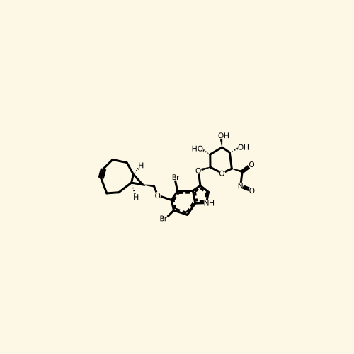 O=NC(=O)[C@H]1O[C@@H](Oc2c[nH]c3cc(Br)c(OC[C@@H]4[C@@H]5CCC#CCC[C@@H]54)c(Br)c23)[C@H](O)[C@@H](O)[C@@H]1O